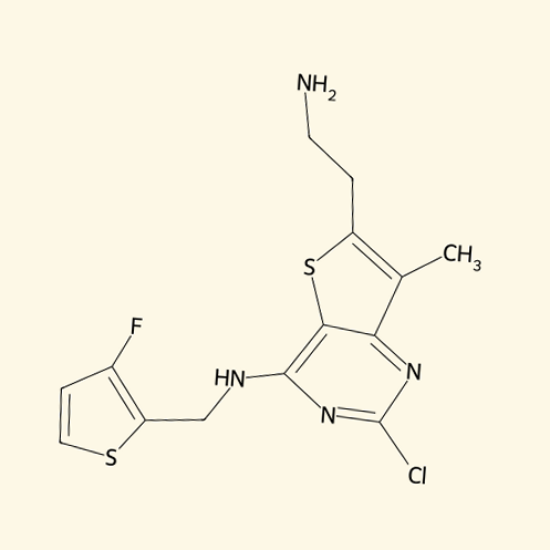 Cc1c(CCN)sc2c(NCc3sccc3F)nc(Cl)nc12